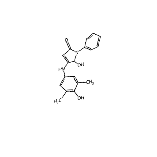 Cc1cc(NC2=CC(=O)N(c3ccccc3)C2O)cc(C)c1O